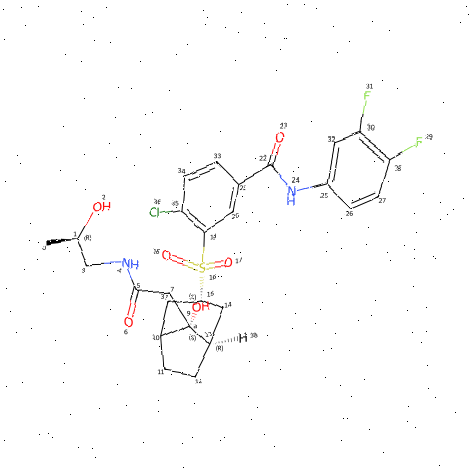 C[C@@H](O)CNC(=O)C[C@]1(O)C2CC[C@@H]1C[C@@H](S(=O)(=O)c1cc(C(=O)Nc3ccc(F)c(F)c3)ccc1Cl)C2